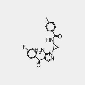 Cc1ccc(C(=O)NC2CC2n2ncc(C(=O)c3ccc(F)cc3)c2N)cc1